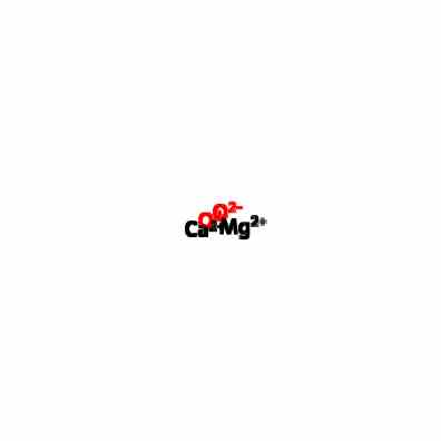 [Ca+2].[Mg+2].[O-2].[O-2]